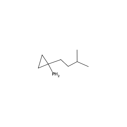 CC(C)CCC1(P)CC1